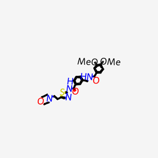 COc1ccc(C(=O)NCc2cccc(C(=O)Nc3ncc(CCN4CCOCC4)s3)c2)cc1OC